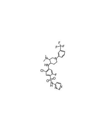 CN(C)C1CN(c2cccc(C(F)(F)F)c2)CC[C@H]1Nc1cc(F)c(S(=O)(=O)Nc2ccncn2)cc1Cl